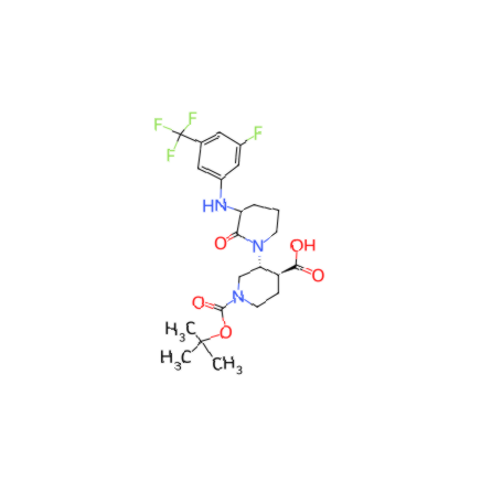 CC(C)(C)OC(=O)N1CC[C@H](C(=O)O)[C@@H](N2CCCC(Nc3cc(F)cc(C(F)(F)F)c3)C2=O)C1